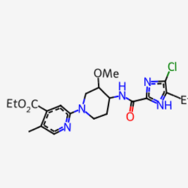 CCOC(=O)c1cc(N2CCC(NC(=O)c3nc(Cl)c(CC)[nH]3)C(OC)C2)ncc1C